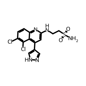 NS(=O)(=O)CCNc1cc(-c2cn[nH]c2)c2c(Cl)c(Cl)ccc2n1